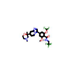 COc1cc(-c2cnc3cc(C4(C)CN(C)CCO4)ccn23)cc(OC(F)F)c1C(=O)NCC(F)(F)F